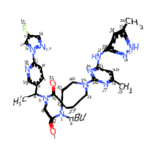 CCCCN1C(=O)CN(C(C)c2ccc(-n3cc(F)cn3)nc2)C(=O)C12CCN(c1nc(C)cc(Nc3cc(C)[nH]n3)n1)CC2